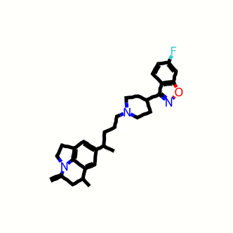 C=C1CC(C)c2cc(C(C)CCCN3CCC(c4noc5cc(F)ccc45)CC3)cc3c2N1CC3